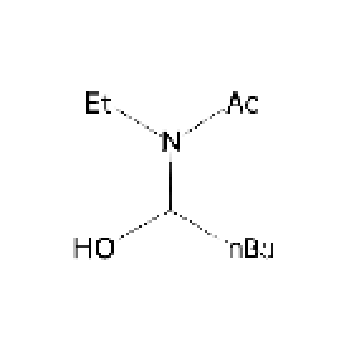 CCCCC(O)N(CC)C(C)=O